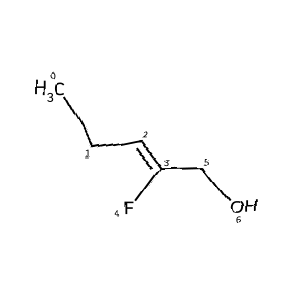 CC/C=C(\F)CO